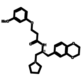 COc1cccc(OCCC(=O)N[C@@H](Cc2ccc3c(c2)OCCO3)CN2CCCC2)c1